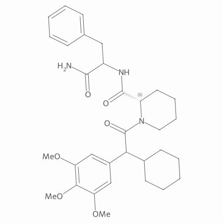 COc1cc(C(C(=O)N2CCCC[C@H]2C(=O)NC(Cc2ccccc2)C(N)=O)C2CCCCC2)cc(OC)c1OC